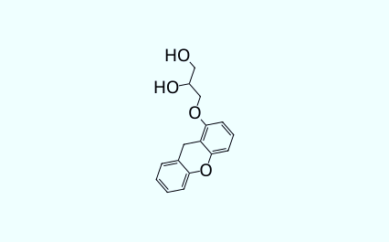 OCC(O)COc1cccc2c1Cc1ccccc1O2